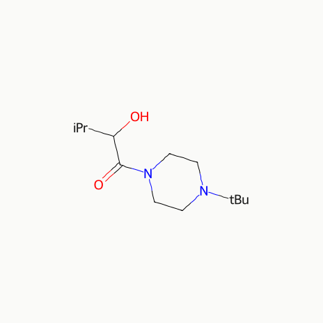 CC(C)C(O)C(=O)N1CCN(C(C)(C)C)CC1